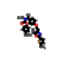 CCC(c1ccc(OCCc2nc(-c3ccc(C)s3)oc2C)cc1)N(OC(C)=O)C(=O)Oc1ccc(OC)cc1